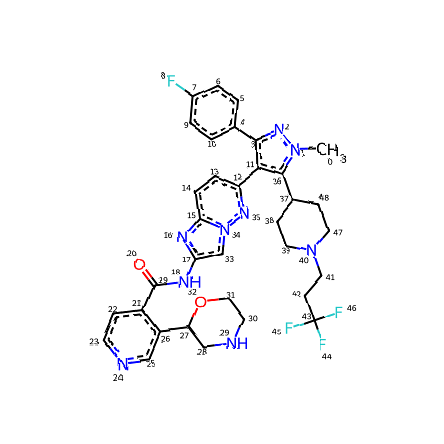 Cn1nc(-c2ccc(F)cc2)c(-c2ccc3nc(NC(=O)c4ccncc4C4CNCCO4)cn3n2)c1C1CCN(CCC(F)(F)F)CC1